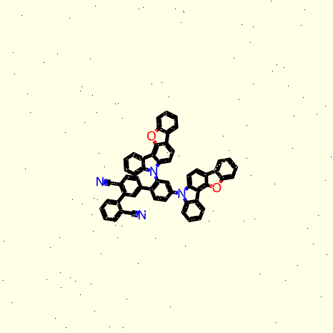 N#Cc1ccccc1-c1cc(-c2ccc(-n3c4ccccc4c4c5oc6ccccc6c5ccc43)cc2-n2c3ccccc3c3c4oc5ccccc5c4ccc32)ccc1C#N